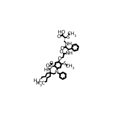 CCCCC1(CCCC)CN(c2ccccc2)c2cc(SC)c(OCC(=O)N[C@@H](C(=O)NC[C@@H](SC)C(=O)O)c3ccccc3)cc2S(=O)(=O)N1